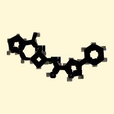 C[C@@H](O)c1ccnn1C[C@H]1C[C@H](NC(=O)c2cc(-c3ccccc3)no2)C1